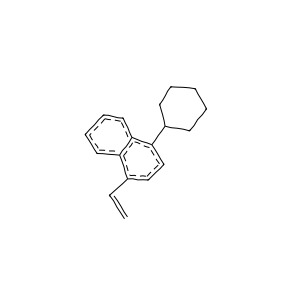 C=Cc1ccc(C2CCCCC2)c2ccccc12